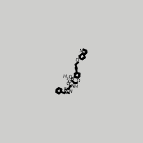 CN1C(=O)[C@H](NC(=O)c2ncn(Cc3ccccc3)n2)COc2ccc(C#CCCOc3ccc4cccnc4c3)cc21